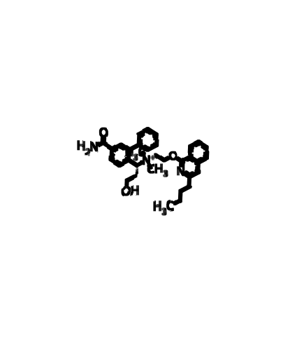 CCCCc1cc2ccccc2c(OCC[N+](C)(C)[C@H](CCO)c2ccc(C(N)=O)cc2-c2ccccc2)n1